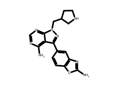 Nc1nc2cc(-c3nn(CC4CCNC4)c4ncnc(N)c34)ccc2o1